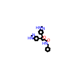 O=C(NCc1ccccc1)c1cc(-c2ccc3[nH]cnc3c2)c(-c2ccc3[nH]cnc3c2)o1